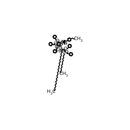 CCCCCCCCCCCCCCCCCCCCCCCCCCN[C@@H](CO[C@@H]1O[C@H](Cn2cc(-c3ccc(CCC)cc3)nn2)[C@H](OCc2ccccc2)[C@H](OCc2ccccc2)[C@H]1OCc1ccccc1)[C@H](OCc1ccccc1)[C@@H](CCCCCCCCCCCCCC)OCc1ccccc1